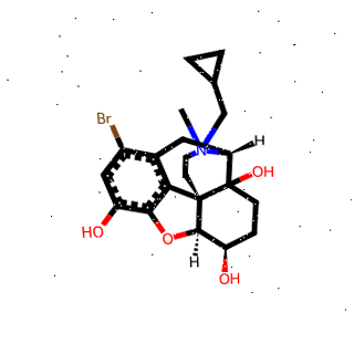 C[N+]1(CC2CC2)CC[C@]23c4c5c(Br)cc(O)c4O[C@@H]2[C@H](O)CCC3(O)[C@H]1C5